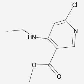 CCNc1cc(Cl)ncc1C(=O)OC